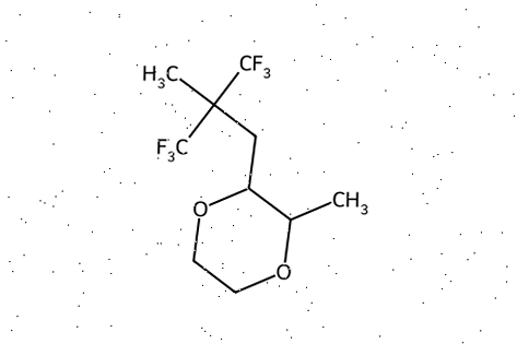 CC1OCCOC1CC(C)(C(F)(F)F)C(F)(F)F